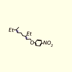 CC/C(C)=C/CC/C(=C/COc1ccc([N+](=O)[O-])cc1)CC